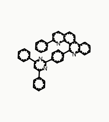 c1ccc(-c2cc(-c3ccccc3)nc(-c3ccc(-c4nc5ccccc5c5ccc6ccc(-c7ccccc7)nc6c45)cc3)n2)cc1